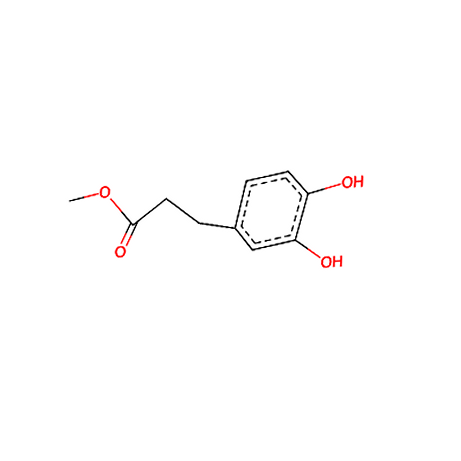 COC(=O)CCc1ccc(O)c(O)c1